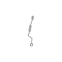 C#CC#CCCCl